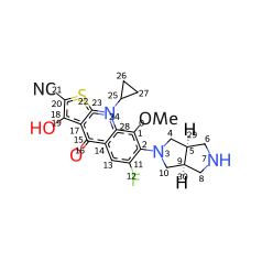 COc1c(N2C[C@H]3CNC[C@H]3C2)c(F)cc2c(=O)c3c(O)c(C#N)sc3n(C3CC3)c12